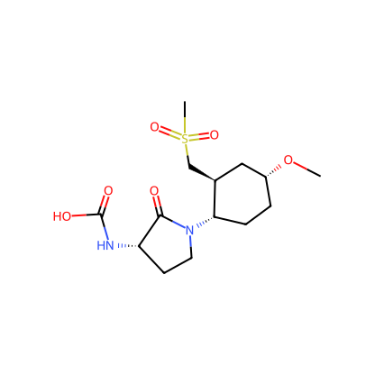 CO[C@@H]1CC[C@H](N2CC[C@H](NC(=O)O)C2=O)[C@@H](CS(C)(=O)=O)C1